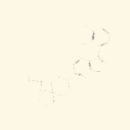 PPN[C@@H]1CCCC12CCN(c1cnc3c(-c4cccc(Cl)c4Cl)n[nH]c3n1)CC2